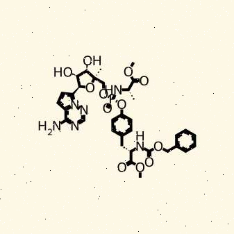 COC(=O)[C@H](C)NP(=O)(OC[C@@]1(C)O[C@@H](c2ccc3c(N)ncnn23)[C@H](O)[C@@H]1O)Oc1ccc(C[C@H](NC(=O)OCc2ccccc2)C(=O)OC)cc1